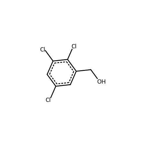 OCc1cc(Cl)cc(Cl)c1Cl